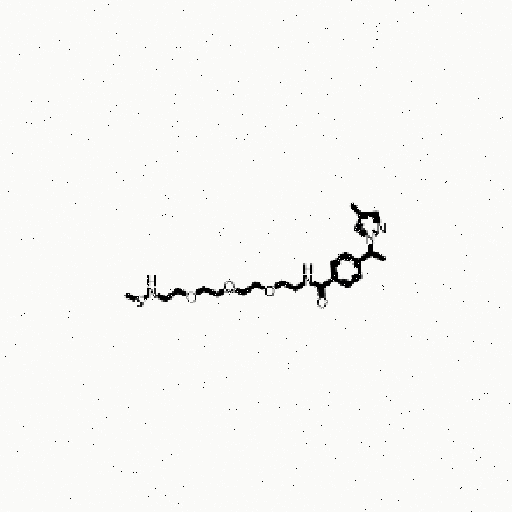 CSNCCOCCOCCOCCNC(=O)c1ccc(C(C)n2cc(C)cn2)cc1